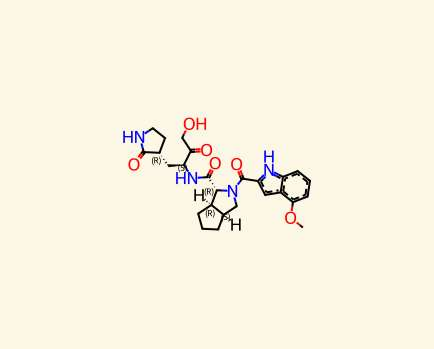 COc1cccc2[nH]c(C(=O)N3C[C@H]4CCC[C@H]4[C@@H]3C(=O)N[C@@H](C[C@H]3CCNC3=O)C(=O)CO)cc12